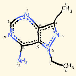 CCn1nc(C)c2ncnc(N)c21